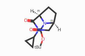 CC(C)(C)OC(=O)N1[C@H]2CC[C@@H]1C(=O)N(C1CC1)C2